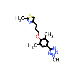 Cc1nc(CCCOc2c(C)cc(-c3nnn(C)n3)cc2C)cs1